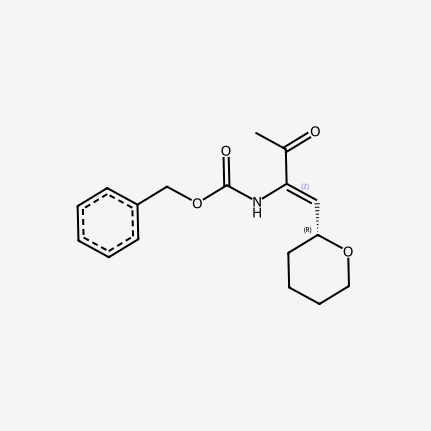 CC(=O)/C(=C/[C@H]1CCCCO1)NC(=O)OCc1ccccc1